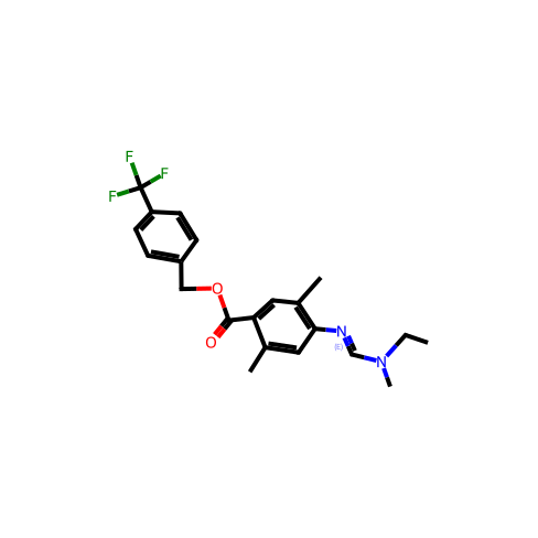 CCN(C)/C=N/c1cc(C)c(C(=O)OCc2ccc(C(F)(F)F)cc2)cc1C